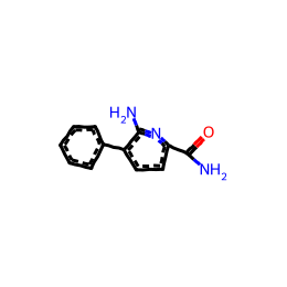 NC(=O)c1ccc(-c2ccccc2)c(N)n1